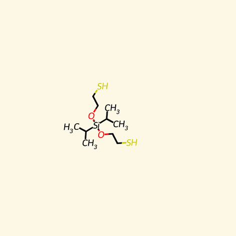 CC(C)[Si](OCCS)(OCCS)C(C)C